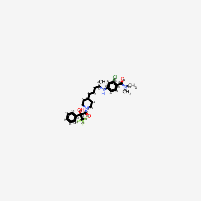 C[C@@H](CCCC1CCN(C(=O)C(O)(c2ccccc2)C(F)(F)F)CC1)Nc1ccc(C(=O)N(C)C)c(Cl)c1